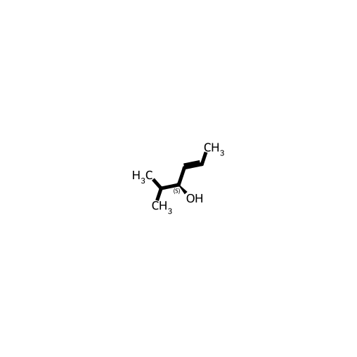 CC=C[C@@H](O)C(C)C